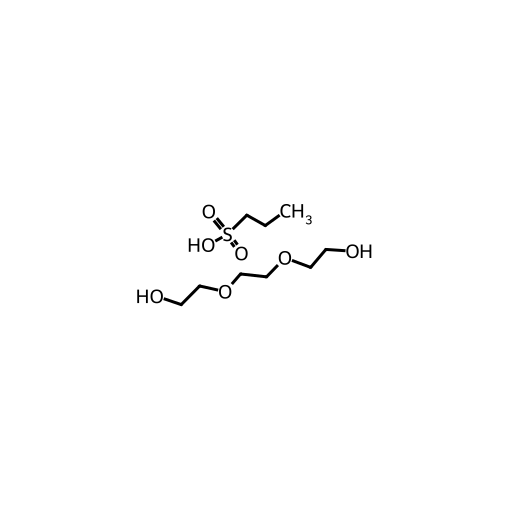 CCCS(=O)(=O)O.OCCOCCOCCO